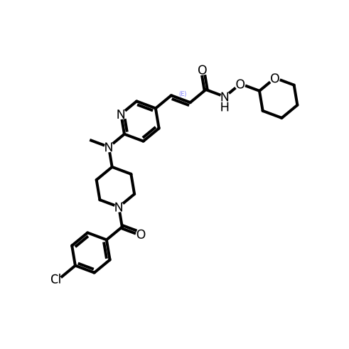 CN(c1ccc(/C=C/C(=O)NOC2CCCCO2)cn1)C1CCN(C(=O)c2ccc(Cl)cc2)CC1